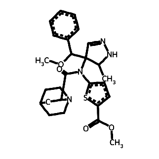 COC(=O)c1ccc(N(C(=O)C2CC3CCN2CC3)C2(C(OC)c3ccccc3)C=NNC2C)s1